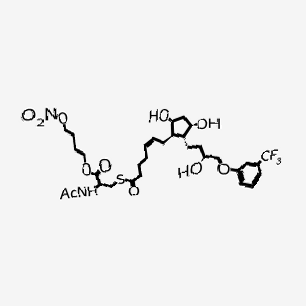 CC(=O)NC(CSC(=O)CCC/C=C\C[C@@H]1[C@@H](CC[C@@H](O)COc2cccc(C(F)(F)F)c2)[C@H](O)C[C@@H]1O)C(=O)OCCCCO[N+](=O)[O-]